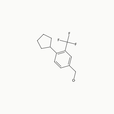 [O]Cc1ccc(C2CCCC2)c(C(F)(F)F)c1